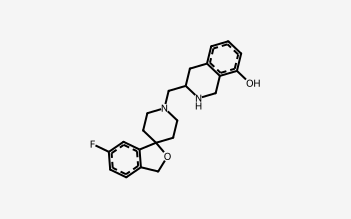 Oc1cccc2c1CNC(CN1CCC3(CC1)OCc1ccc(F)cc13)C2